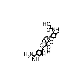 Cc1ccc(N2CCO[C@H]([C@@H](O)C(=O)Nc3ccc(C(=N)N)cc3)C2=O)cc1NC(=O)CO